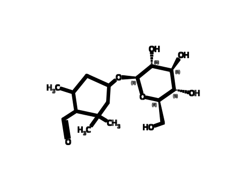 CC1CC(O[C@@H]2O[C@H](CO)[C@@H](O)[C@H](O)[C@H]2O)CC(C)(C)C1C=O